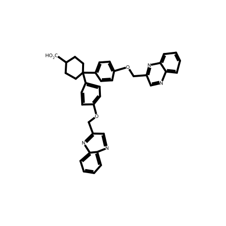 O=C(O)C1CCC(c2ccc(OCc3cnc4ccccc4n3)cc2)(c2ccc(OCc3cnc4ccccc4n3)cc2)CC1